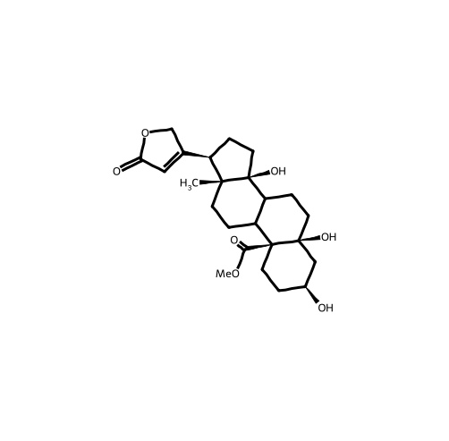 COC(=O)[C@]12CC[C@H](O)C[C@@]1(O)CCC1C2CC[C@]2(C)[C@@H](C3=CC(=O)OC3)CC[C@]12O